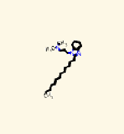 CCCCCCCCCCCCCc1nc2ccccc2n1CCCN(C)C